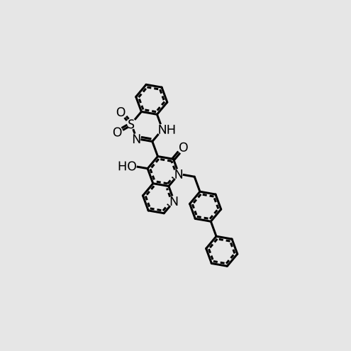 O=c1c(C2=NS(=O)(=O)c3ccccc3N2)c(O)c2cccnc2n1Cc1ccc(-c2ccccc2)cc1